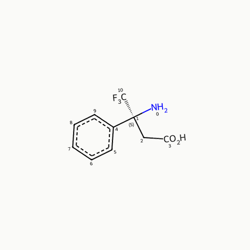 N[C@@](CC(=O)O)(c1ccccc1)C(F)(F)F